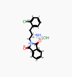 Cl.N[C@@H](Cc1ccccc1Cl)CN1C(=O)c2ccccc2C1=O